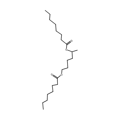 CCCCCCCC(=O)OCCCCC(C)OC(=O)CCCCCCC